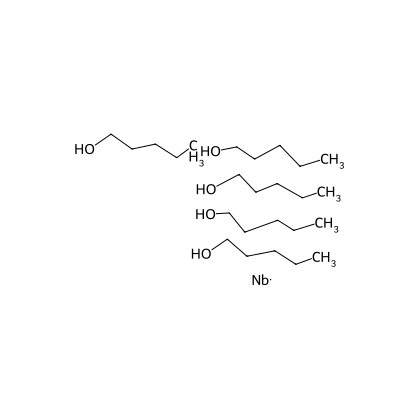 CCCCCO.CCCCCO.CCCCCO.CCCCCO.CCCCCO.[Nb]